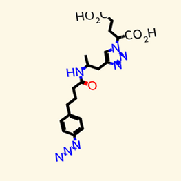 CC(Cc1cn(C(CCC(=O)O)C(=O)O)nn1)NC(=O)CCCc1ccc(N=[N+]=[N-])cc1